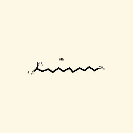 Br.CCCCCCCCCCCCC(C)N